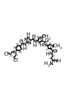 Cn1cc(NC(=O)c2cc(NC(=O)c3nc(NC(=O)c4ccc(N(CCCl)CCCl)cc4)n[nH]3)cn2C)cc1C(=O)NCCC(=N)N